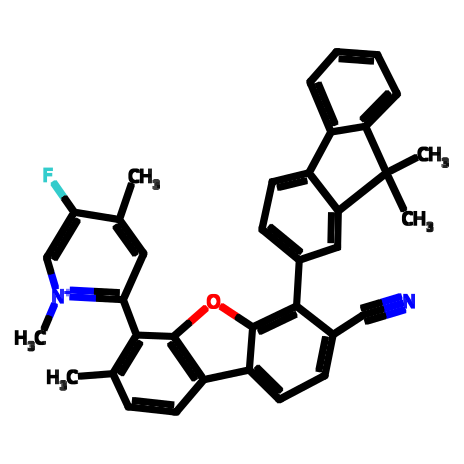 Cc1cc(-c2c(C)ccc3c2oc2c(-c4ccc5c(c4)C(C)(C)c4ccccc4-5)c(C#N)ccc23)[n+](C)cc1F